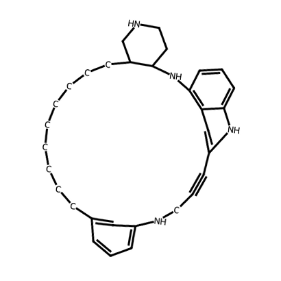 C1#Cc2cc3c(cccc3[nH]2)NC2CCNCC2CCCCCCCCCc2cccc(c2)NC1